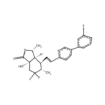 C[C@H]1OC(=O)[C@]2(O)CC(F)(F)[C@@H](C)[C@H](/C=C/c3ccc(-c4cccc(F)c4)cn3)[C@H]12